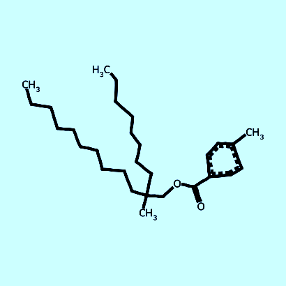 CCCCCCCCCCC(C)(CCCCCCCC)COC(=O)c1ccc(C)cc1